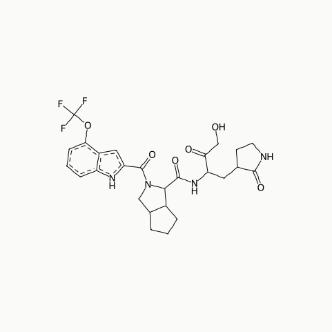 O=C1NCCC1CC(NC(=O)C1C2CCCC2CN1C(=O)c1cc2c(OC(F)(F)F)cccc2[nH]1)C(=O)CO